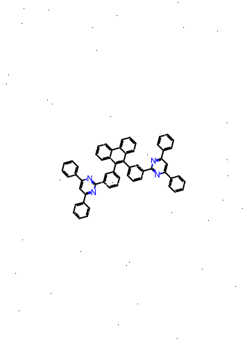 c1ccc(-c2cc(-c3ccccc3)nc(-c3cccc(-c4c(-c5cccc(-c6nc(-c7ccccc7)cc(-c7ccccc7)n6)c5)c5ccccc5c5ccccc45)c3)n2)cc1